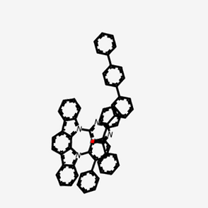 c1ccc(-c2ccc(-c3cccc(-c4nc(-c5ccccc5)nc(-n5c6ccccc6c6ccc7c8ccccc8n(-c8cc(-c9ccccc9)ccc8-c8ccccc8)c7c65)n4)c3)cc2)cc1